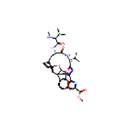 CNC(C(=O)N[C@H]1Cc2ccc3c(c2)C2(c4ccccc4NC2O3)c2oc(nc2-c2nc(C(=O)OC)co2)[C@H](C(C)C)NC1=O)C(C)C